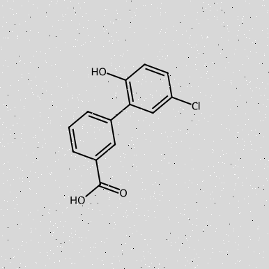 O=C(O)c1cccc(-c2cc(Cl)ccc2O)c1